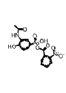 CC(=O)Nc1cc([As](=O)(O)OC(=O)c2ccccc2[N+](=O)[O-])ccc1O